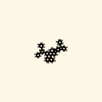 C1=CC(c2cc(-c3nc(-c4ccccc4)nc(-c4ccccc4)n3)cc(-c3ccccc3)c2N(c2ccccc2)c2ccc3c(c2)oc2cc4c(cc23)c2ccccc2n4-c2ccccc2)=CCC1